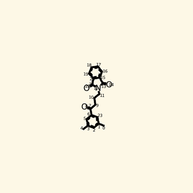 Cc1cc(C)cc(C(=O)CCCN2C(=O)c3ccccc3C2=O)c1